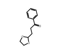 O=C(CCC1OCCO1)c1ccccc1